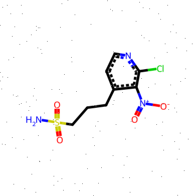 NS(=O)(=O)CCCc1ccnc(Cl)c1[N+](=O)[O-]